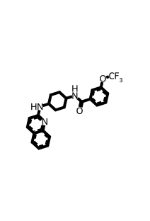 O=C(NC1CCC(Nc2ccc3ccccc3n2)CC1)c1cccc(OC(F)(F)F)c1